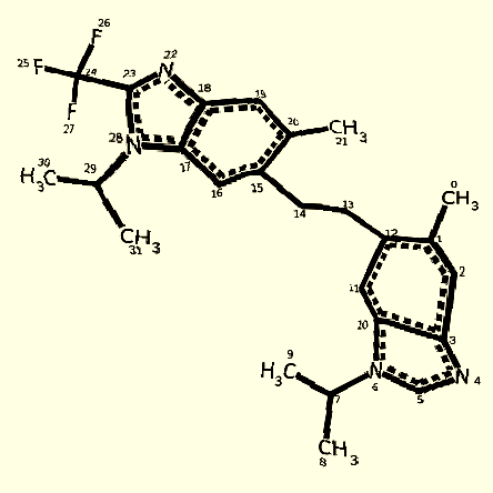 Cc1cc2ncn(C(C)C)c2cc1CCc1cc2c(cc1C)nc(C(F)(F)F)n2C(C)C